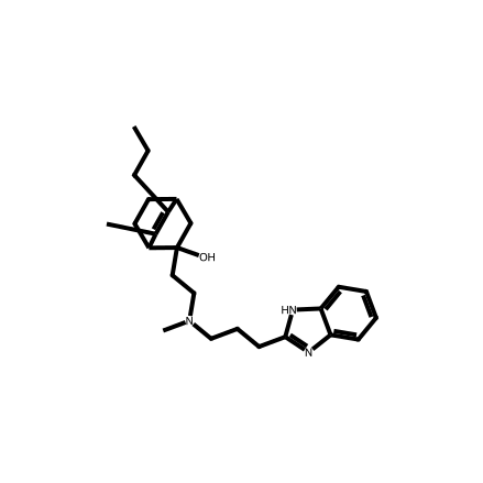 CCCC1=C(C)C2CCC1CC2(O)CCN(C)CCCc1nc2ccccc2[nH]1